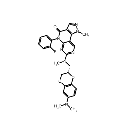 CN(C)c1ccc2c(c1)OC[C@H](CN(C)c1ncc3c4c(cnn4C)c(=O)n(-c4ccccc4F)c3n1)O2